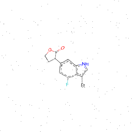 CCc1c[nH]c2cc(C3CCOC3=O)cc(F)c12